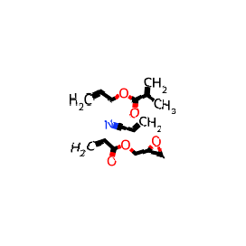 C=CC#N.C=CC(=O)OCC1CO1.C=CCOC(=O)C(=C)C